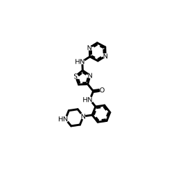 O=C(Nc1ccccc1N1CCNCC1)c1csc(Nc2cnccn2)n1